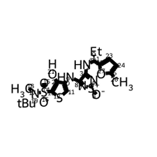 CC[C@@H](Nc1n[s+]([O-])nc1Nc1csc(S(=O)(=O)N(C)C(C)(C)C)c1O)c1ccc(C)o1